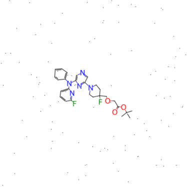 CC(C)(C)OC(=O)COCC1(F)CCN(c2cncc(N(c3ccccc3)c3cccc(F)n3)n2)CC1